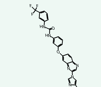 Cc1cn(-c2cnc3ccc(Oc4cccc(NC(=O)Nc5cccc(C(F)(F)F)c5)c4)cc3n2)cn1